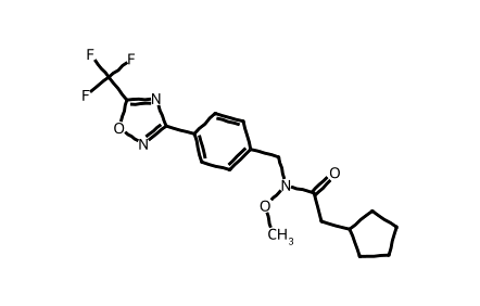 CON(Cc1ccc(-c2noc(C(F)(F)F)n2)cc1)C(=O)CC1CCCC1